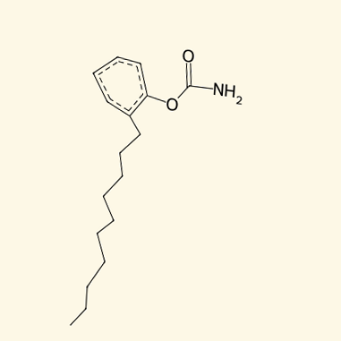 CCCCCCCCCCc1ccccc1OC(N)=O